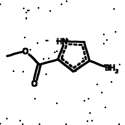 Bc1c[nH]c(C(=O)OC)c1